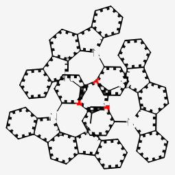 c1ccc(-n2c3ccccc3c3ccc4c5ccccc5n(-c5cc(-n6c7ccccc7c7ccc8c9ccccc9n(-c9ccccc9)c8c76)nc(-n6c7ccccc7c7ccc8c9ccccc9n(-c9ccccc9)c8c76)c5)c4c32)cc1